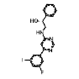 O[C@@H](CNc1cc(-c2cc(F)cc(F)c2)ncn1)c1ccccc1